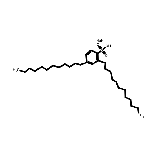 CCCCCCCCCCCCc1ccc(S(=O)(=O)O)c(CCCCCCCCCCCC)c1.[NaH]